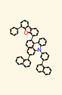 c1ccc(-c2cccc3c2oc2c(-c4ccccc4-c4ccccc4N(c4cccc(-c5cccc6ccccc56)c4)c4cccc(-c5cccc6ccccc56)c4)cccc23)cc1